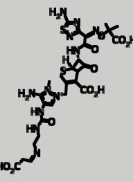 Cn1c(N)c(NC(=O)NCC/N=C\CC(=O)O)c[n+]1CC1=C(C(=O)O)C2C(=O)[C@@H](NC(=O)/C(=N\OC(C)(C)C(=O)O)c3nsc(N)n3)[C@H]2SC1